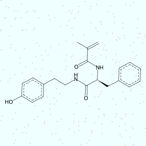 C=C(C)C(=O)N[C@@H](Cc1ccccc1)C(=O)NCCc1ccc(O)cc1